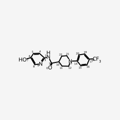 O=C(Nc1ccc(O)cn1)C1CCN(c2ccc(C(F)(F)F)cc2)CC1